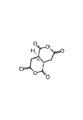 O=C1C[C@H]2C(=O)OC(=O)CC2C(=O)O1